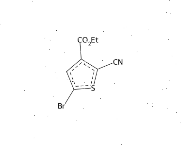 CCOC(=O)c1cc(Br)sc1C#N